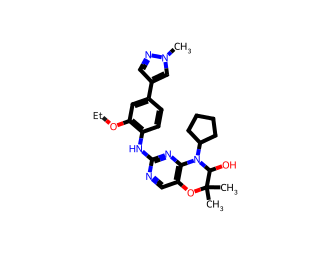 CCOc1cc(-c2cnn(C)c2)ccc1Nc1ncc2c(n1)N(C1CCCC1)C(O)C(C)(C)O2